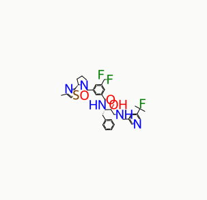 Cc1csc([C@H]2CCCN2C(=O)c2cc(C(=O)N[C@@H](Cc3ccccc3)[C@@H](O)CNCc3cncc(C(C)(C)F)c3)cc(C(F)F)c2)n1